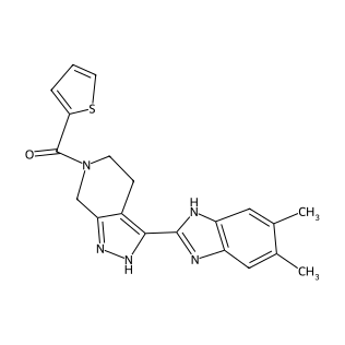 Cc1cc2nc(-c3[nH]nc4c3CCN(C(=O)c3cccs3)C4)[nH]c2cc1C